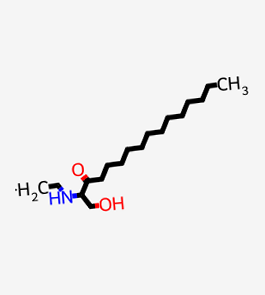 [CH2]CNC(CO)C(=O)CCCCCCCCCCCCC